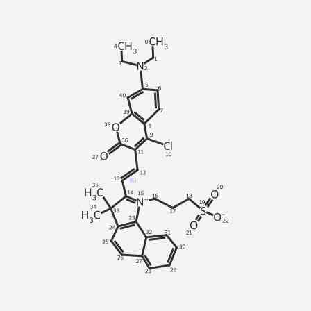 CCN(CC)c1ccc2c(Cl)c(/C=C/C3=[N+](CCCS(=O)(=O)[O-])c4c(ccc5ccccc45)C3(C)C)c(=O)oc2c1